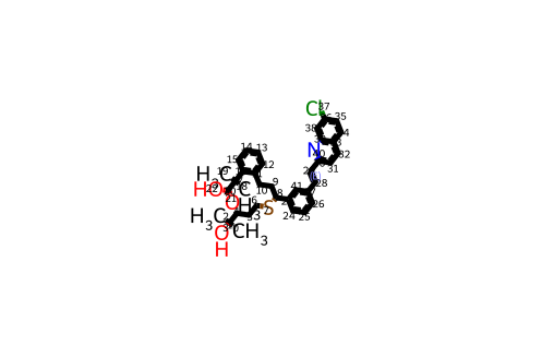 CC(C)(O)CCCSC(CCc1ccccc1C(C)(C)C(=O)O)c1cccc(/C=C/c2ccc3ccc(Cl)cc3n2)c1